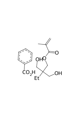 C=C(C)C(=O)OCC(CC)(CO)CO.O=C(O)c1ccccc1